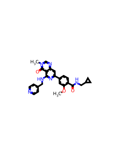 COc1cc(-c2cc3ncn(C)c(=O)c3c(NCc3ccncc3)n2)ccc1C(=O)NCC1CC1